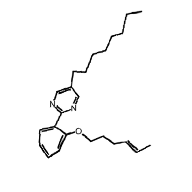 C/C=C/CCCOc1ccccc1-c1ncc(CCCCCCCC)cn1